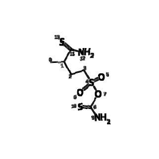 CC(CCS(=O)(=O)OC(N)=S)C(N)=S